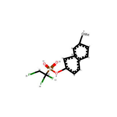 COc1ccc2ccc(OS(=O)(=O)C(F)(F)CF)cc2c1